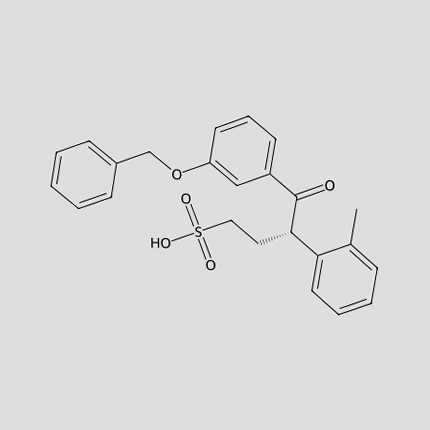 Cc1ccccc1[C@H](CCS(=O)(=O)O)C(=O)c1cccc(OCc2ccccc2)c1